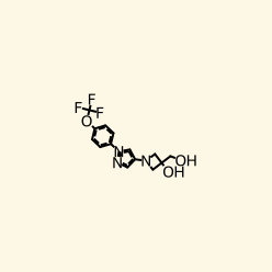 OCC1(O)CN(c2cnn(-c3ccc(OC(F)(F)F)cc3)c2)C1